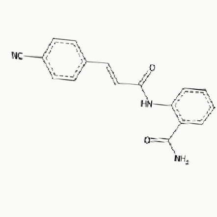 N#Cc1ccc(/C=C/C(=O)Nc2ccccc2C(N)=O)cc1